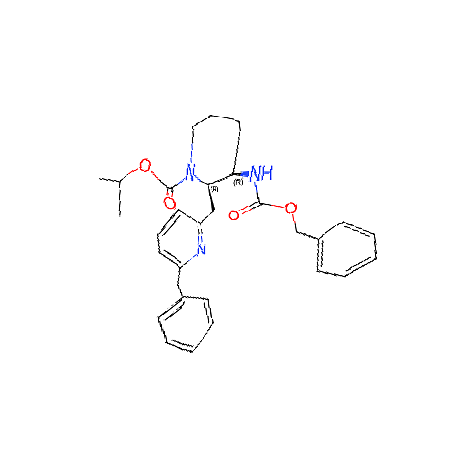 CC(C)OC(=O)N1CCC[C@@H](NC(=O)OCc2ccccc2)[C@H]1Cc1cccc(-c2ccccc2)n1